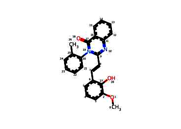 COc1cccc(C=Cc2nc3ccccc3c(=O)n2-c2ccccc2C)c1O